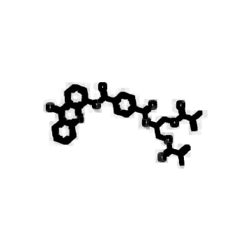 C=C(C)C(=O)OCC(COC(=O)C(=C)C)OC(=O)c1ccc(C(=O)Oc2cccc3c(=O)c4ccccc4sc23)cc1